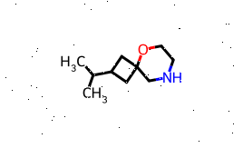 CC(C)C1CC2(CNCCO2)C1